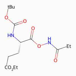 CCOC(=O)CC[C@H](NC(=O)OC(C)(C)C)C(=O)ONC(=O)CC